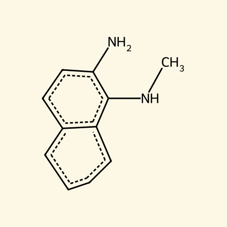 CNc1c(N)ccc2ccccc12